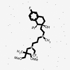 COCC(C)(COC)CN(CCCN(C)CC[C@@]1(O)CCc2cc(F)ccc2[C@@H]1C(C)C)CC(F)(F)F